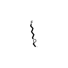 [CH2]COCCCCCF